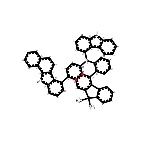 CC1(C)c2ccccc2-c2c(-c3ccccc3N(c3ccc(-c4cccc5oc6c7ccccc7ccc6c45)cc3)c3cccc4oc5ccccc5c34)cccc21